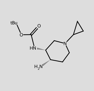 CC(C)(C)OC(=O)N[C@@H]1CN(C2CC2)CC[C@@H]1N